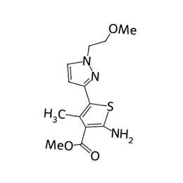 COCCn1ccc(-c2sc(N)c(C(=O)OC)c2C)n1